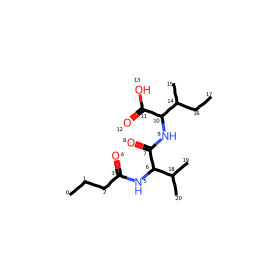 CCCC(=O)NC(C(=O)NC(C(=O)O)C(C)CC)C(C)C